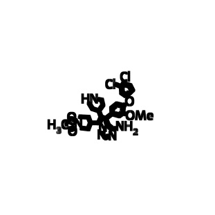 COc1cc(-c2c(C3CCNCC3)c(C3CCN(S(C)(=O)=O)CC3)n3ncnc(N)c23)ccc1Oc1ccc(Cl)c(Cl)c1